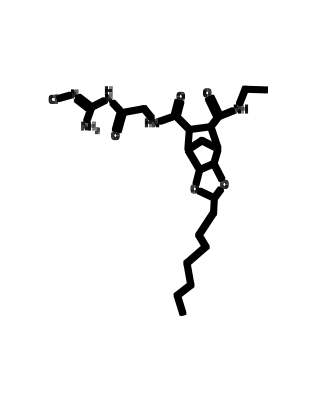 CCCCCCCC1OC2C3CC(C2O1)C(C(=O)NCC(=O)N/C(N)=N/Cl)C3C(=O)NCC